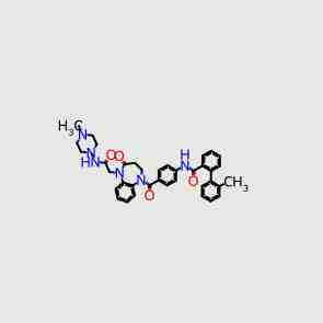 Cc1ccccc1-c1ccccc1C(=O)Nc1ccc(C(=O)N2CCC(=O)N(CC(=O)NN3CCN(C)CC3)c3ccccc32)cc1